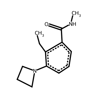 CCc1c(C(=O)NC)cccc1N1CCC1